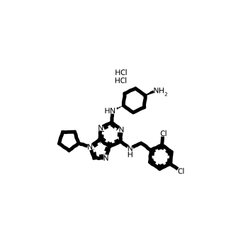 Cl.Cl.N[C@H]1CC[C@H](Nc2nc(NCc3ccc(Cl)cc3Cl)c3ncn(C4CCCC4)c3n2)CC1